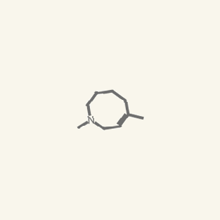 C/C1=C/CN(C)CCCC1